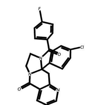 O=C(c1ccc(F)cc1)N1CCN2C(=O)c3cccnc3CC12c1ccc(Cl)cc1